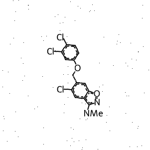 CNc1noc2cc(COc3ccc(Cl)c(Cl)c3)c(Cl)cc12